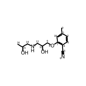 Cc1ccc(C#N)c(OCC(O)CNCC(C)O)c1